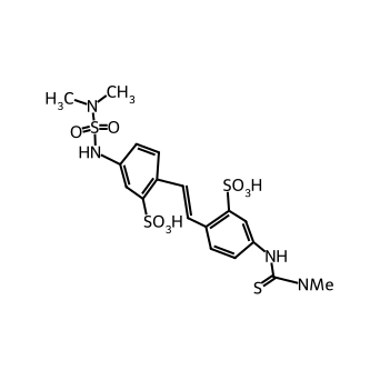 CNC(=S)Nc1ccc(C=Cc2ccc(NS(=O)(=O)N(C)C)cc2S(=O)(=O)O)c(S(=O)(=O)O)c1